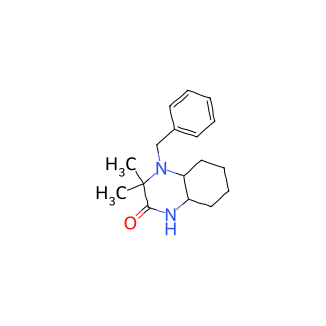 CC1(C)C(=O)NC2CCCCC2N1Cc1ccccc1